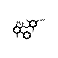 CSc1cc(F)c(CNc2c(N)cnc(C)c2-c2ccccc2)c(F)c1